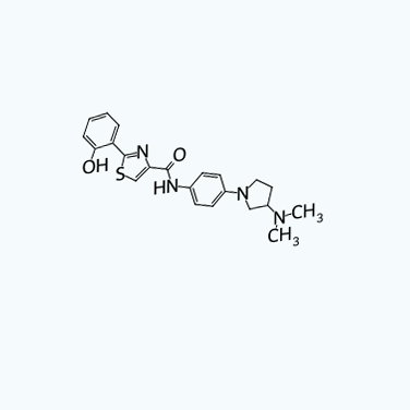 CN(C)C1CCN(c2ccc(NC(=O)c3csc(-c4ccccc4O)n3)cc2)C1